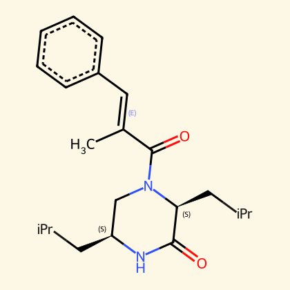 C/C(=C\c1ccccc1)C(=O)N1C[C@H](CC(C)C)NC(=O)[C@@H]1CC(C)C